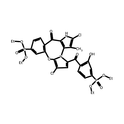 CCOP(=O)(OCC)c1ccc(C(=O)c2cc(Cl)c3n2-c2c([nH]c(Cl)c2C)C(=O)c2ccc(P(=O)(OCC)OCC)cc2O3)c(O)c1